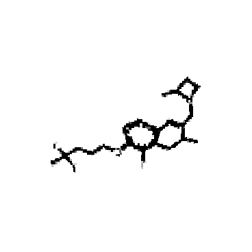 CC1Cc2c(ccc(OCCCC(F)(F)F)c2F)C=C1CN1CCC1C